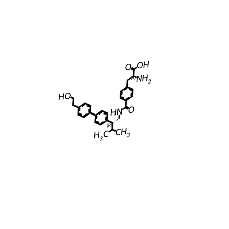 CC(C)[C@@H](CNC(=O)c1ccc(C[C@H](N)C(=O)O)cc1)c1ccc(-c2ccc(CCO)cc2)cc1